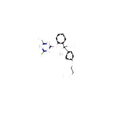 CCCOc1ccc(C(C)(C)c2ccccc2Oc2nc(Cl)nc(Cl)n2)cc1